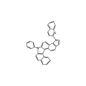 c1ccc(-n2c3ccc4ccccc4c3c3c4ccc5ccn(-c6ccc7ccccc7n6)c5c4ccc32)cc1